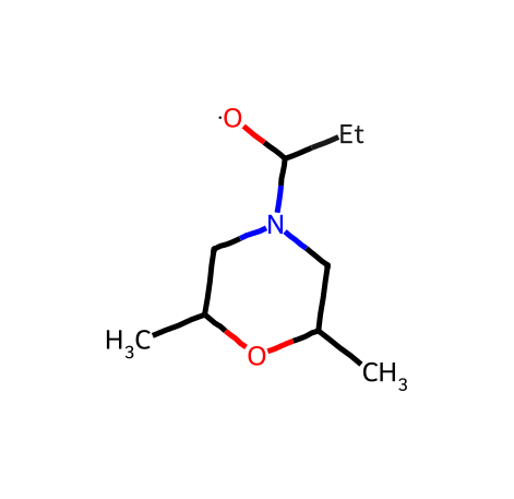 CCC([O])N1CC(C)OC(C)C1